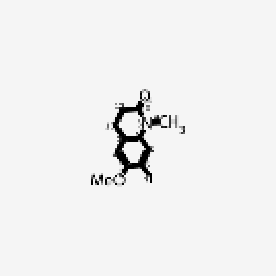 COc1cc2c(cc1I)N(C)C(=O)CC2